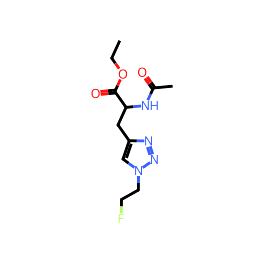 CCOC(=O)C(Cc1cn(CCF)nn1)NC(C)=O